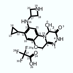 CC1C(=O)NN=C2COc3cc(C4CC4)c(NC4CNC4)cc3N21.O=C(O)C(F)(F)F